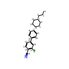 CCC[C@H]1CC[C@H](c2ccc(-c3ccc(C#N)c(F)c3)cc2)CC1